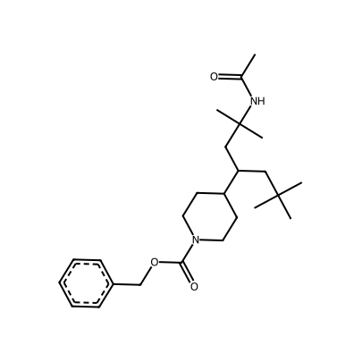 CC(=O)NC(C)(C)CC(CC(C)(C)C)C1CCN(C(=O)OCc2ccccc2)CC1